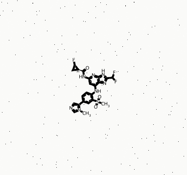 Cn1cncc1-c1ccc(Nc2cc(NC(=O)[C@H]3CC3F)nc3[nH]c(C(F)F)nc23)c(S(C)(=O)=O)c1